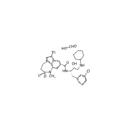 CCc1cn2c3c(cc(C(=O)N[C@@H](Cc4cccc(Cl)c4)[C@H](O)CNC4CCCCC4)cc13)N(C)S(=O)(=O)CC2.O=CO